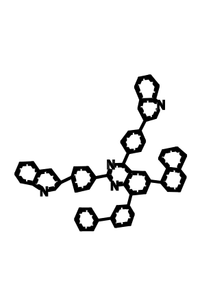 c1ccc(-c2cccc(-c3cc(-c4cccc5ccccc45)cc4c(-c5ccc(-c6cnc7ccccc7c6)cc5)nc(-c5ccc(-c6cnc7ccccc7c6)cc5)nc34)c2)cc1